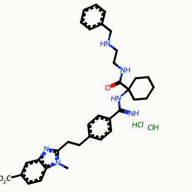 Cl.Cl.Cn1c(CCc2ccc(C(=N)NC3(C(=O)NCCNCc4ccccc4)CCCCC3)cc2)nc2cc(C(=O)O)ccc21